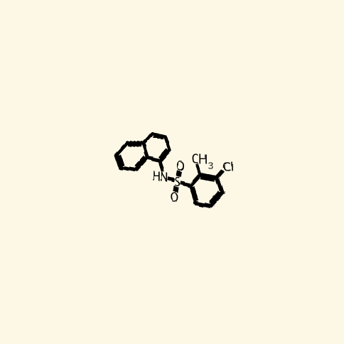 Cc1c(Cl)cccc1S(=O)(=O)Nc1cccc2ccccc12